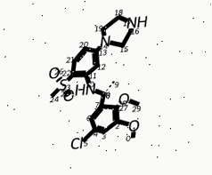 COc1cc(Cl)cc([C@@H](C)Nc2cc(N3CCNCC3)ccc2S(C)(=O)=O)c1OC